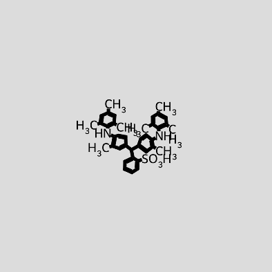 Cc1cc(C)c(Nc2ccc(C(c3ccc(Nc4c(C)cc(C)cc4C)c(C)c3)c3ccccc3S(=O)(=O)O)cc2C)c(C)c1